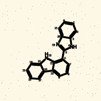 c1ccc2[nH]c(-c3cccc4c3[nH]c3ccccc34)nc2c1